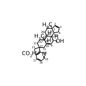 C[C@@]12C=CC[C@H]1[C@@H]1[C@@H](O)C=C3CC(CC(=O)O)(c4ccccn4)CC[C@]3(C)[C@H]1CC2